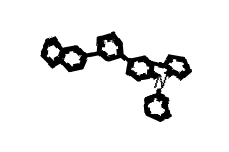 c1ccc(-n2c3ccccc3c3cc(-c4cccc(-c5ccc6ccccc6c5)c4)ccc32)cc1